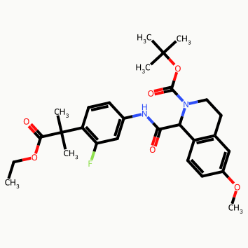 CCOC(=O)C(C)(C)c1ccc(NC(=O)C2c3ccc(OC)cc3CCN2C(=O)OC(C)(C)C)cc1F